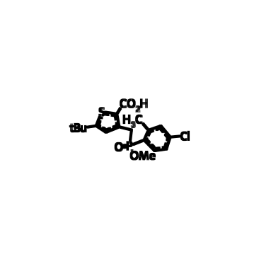 COP(=O)(Cc1cc(C(C)(C)C)sc1C(=O)O)c1ccc(Cl)cc1C